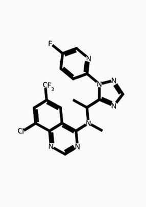 CC(c1ncnn1-c1ccc(F)cn1)N(C)c1ncnc2c(Cl)cc(C(F)(F)F)cc12